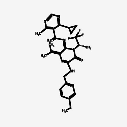 C=C(/N=C1\C(=C(C)C)N=C(NCc2ccc(SC)cn2)C(=O)N1[C@@H](C)C(F)(F)F)c1c(C)ncnc1C1CC1